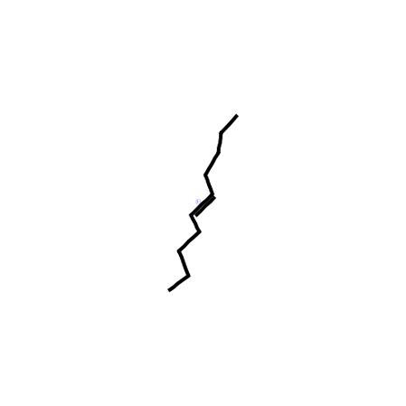 CCCC/C=C/CCCC